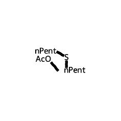 CCCCCSCCCCC.COC(C)=O